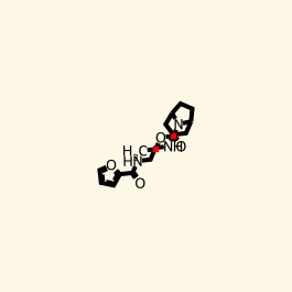 CCOC(=O)N1C2CCC1CC(NCCNC(=O)c1ccco1)C2